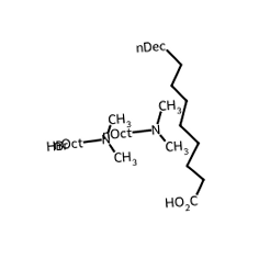 Br.CCCCCCCCCCCCCCCCCC(=O)O.CCCCCCCCN(C)C.CCCCCCCCN(C)C